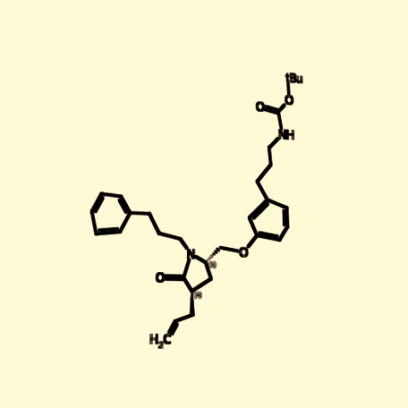 C=CC[C@@H]1C[C@@H](COc2cccc(CCCNC(=O)OC(C)(C)C)c2)N(CCCc2ccccc2)C1=O